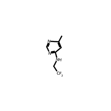 Cc1cc(NCC(F)(F)F)ncn1